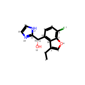 CCc1coc2c(F)ccc([C@H](O)c3ncc[nH]3)c12